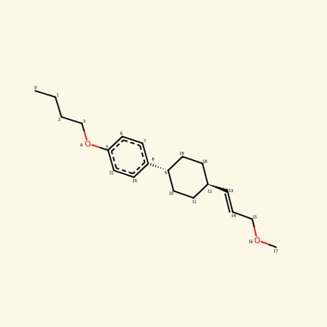 CCCCOc1ccc([C@H]2CC[C@H](/C=C/COC)CC2)cc1